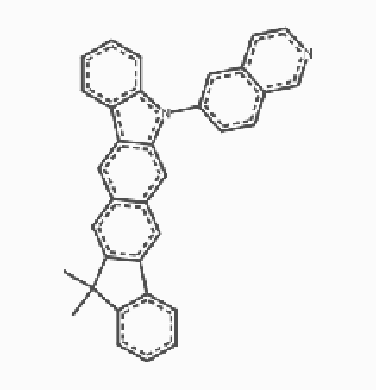 CC1(C)c2ccccc2-c2cc3cc4c(cc3cc21)c1ccccc1n4-c1ccc2cnccc2c1